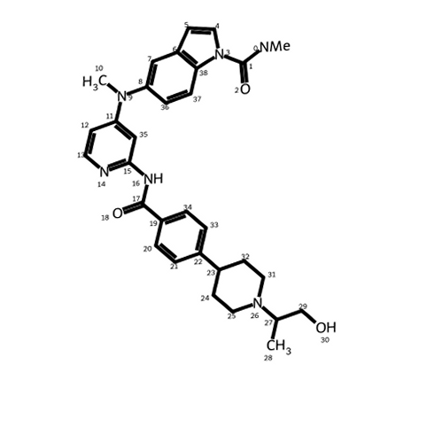 CNC(=O)n1ccc2cc(N(C)c3ccnc(NC(=O)c4ccc(C5CCN(C(C)CO)CC5)cc4)c3)ccc21